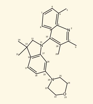 Cc1nc2c(C)cccc2c(N2CC(C)(C)c3ccc(N4CCOCC4)cc32)c1C